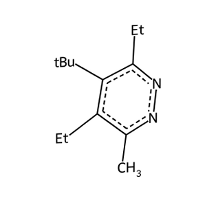 CCc1nnc(C)c(CC)c1C(C)(C)C